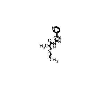 C=CCSCC(C)C(=O)Nc1nnc(-c2cccnc2)s1